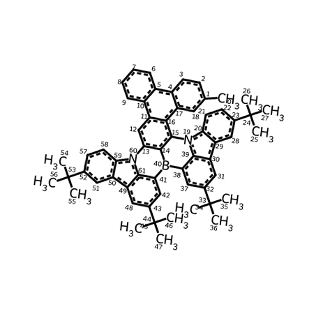 Cc1ccc2c3ccccc3c3cc4c5c(c3c2c1)-n1c2ccc(C(C)(C)C)cc2c2cc(C(C)(C)C)cc(c21)B5c1cc(C(C)(C)C)cc2c3cc(C(C)(C)C)ccc3n-4c12